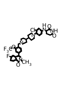 Cn1cc(-c2ccc(CN3CCC(C4CCN(c5ccc(NC6CCC(=O)NC6=O)cc5Cl)CC4)CC3)c(OC(F)(F)F)c2)c2cc(F)ccc2c1=O